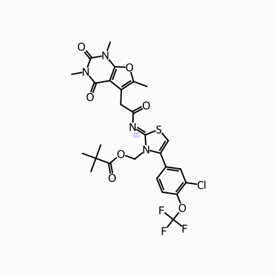 Cc1oc2c(c1CC(=O)/N=c1\scc(-c3ccc(OC(F)(F)F)c(Cl)c3)n1COC(=O)C(C)(C)C)c(=O)n(C)c(=O)n2C